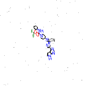 N#CCC1(n2cc(-c3ncnc4[nH]ccc34)cn2)CN(C2CCN(C(=O)Nc3ccccc3OC(F)F)CC2)C1